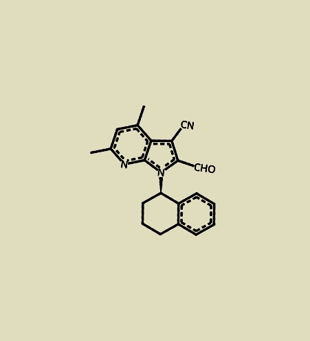 Cc1cc(C)c2c(C#N)c(C=O)n([C@@H]3CCCc4ccccc43)c2n1